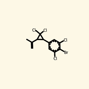 C=C(C)C1C(c2cc(Cl)c(Br)c(Cl)c2)C1(Cl)Cl